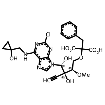 C#C[C@@](O)([C@@H](COC(Cc1ccccc1)(C(=O)O)C(=O)O)OC)[C@@H](O)n1cnc2c(NCC3(O)CC3)nc(Cl)nc21